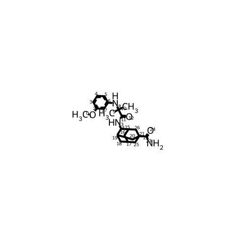 COc1cccc(NC(C)(C)C(=O)NC2C3CC4CC2CC(C(N)=O)(C4)C3)c1